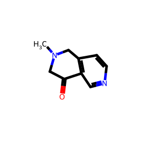 CN1CC(=O)c2cnccc2C1